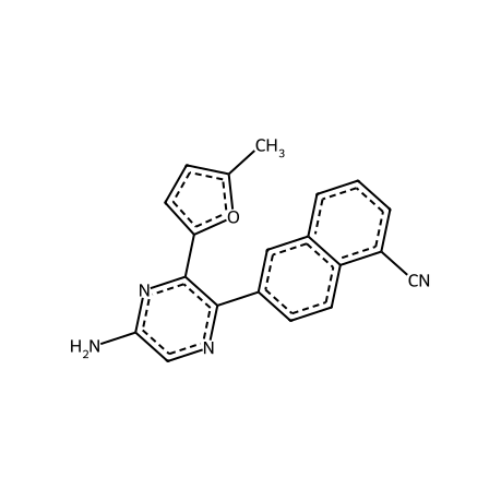 Cc1ccc(-c2nc(N)cnc2-c2ccc3c(C#N)cccc3c2)o1